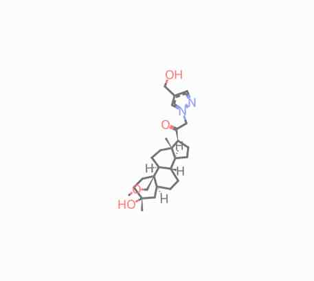 COC[C@]12CC[C@@](C)(O)C[C@@H]1CC[C@H]1[C@@H]3CC[C@H](C(=O)Cn4cc(CO)cn4)[C@@]3(C)CC[C@@H]12